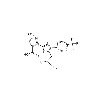 Cc1cc(C(=O)O)n(-c2nc(-c3ccc(C(F)(F)F)cc3)c(CC(C)C)s2)n1